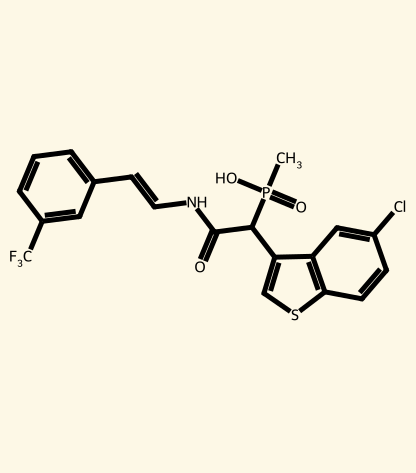 CP(=O)(O)C(C(=O)NC=Cc1cccc(C(F)(F)F)c1)c1csc2ccc(Cl)cc12